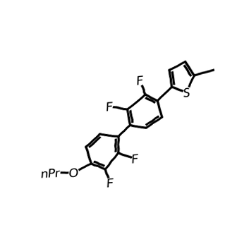 CCCOc1ccc(-c2ccc(-c3ccc(C)s3)c(F)c2F)c(F)c1F